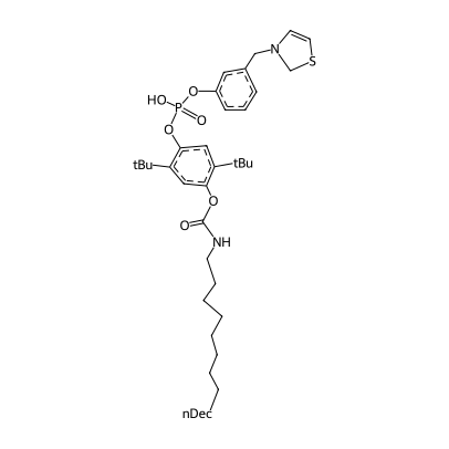 CCCCCCCCCCCCCCCCCCNC(=O)Oc1cc(C(C)(C)C)c(OP(=O)(O)Oc2cccc(CN3C=CSC3)c2)cc1C(C)(C)C